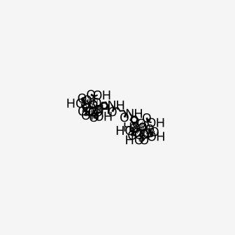 O=C(CCCC(=O)Nc1ccc([C@]2(S)O[C@H](C(=O)O)[C@@H](OS(=O)(=O)O)[C@H](OS(=O)(=O)O)[C@H]2OS(=O)(=O)O)cc1)Nc1ccc([C@]2(S)O[C@H](C(=O)O)[C@@H](OS(=O)(=O)O)[C@H](OS(=O)(=O)O)[C@H]2OS(=O)(=O)O)cc1